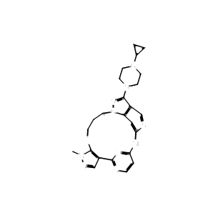 C[C@H]1CCOc2c(cnn2C)-c2nccc(n2)Nc2cc3c(cn2)c(N2CCN(C4CC4)CC2)nn31